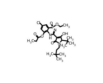 CCOP1(=O)N=C(C2=C(O)C(C(C)(C)C)N(CCC(C)(C)C)C2=O)Nc2c(OC(=O)CC)cc(Cl)cc21